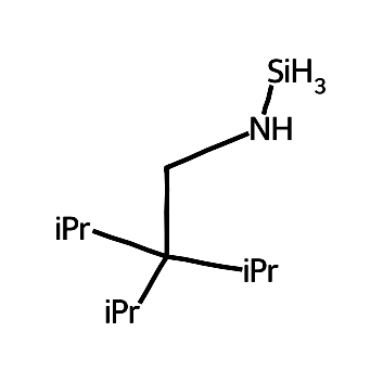 CC(C)C(CN[SiH3])(C(C)C)C(C)C